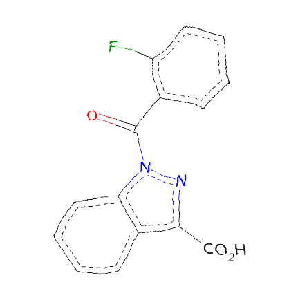 O=C(O)c1nn(C(=O)c2ccccc2F)c2ccccc12